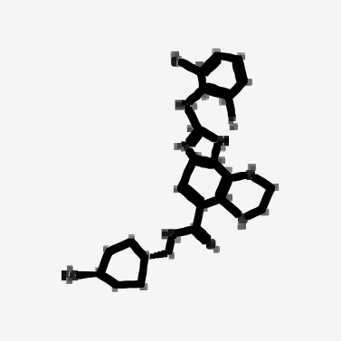 O=C(NC[C@H]1CC[C@H](C(F)(F)F)CC1)c1cc2nc(Nc3c(F)cccc3Cl)[nH]c2c2c1OCCO2